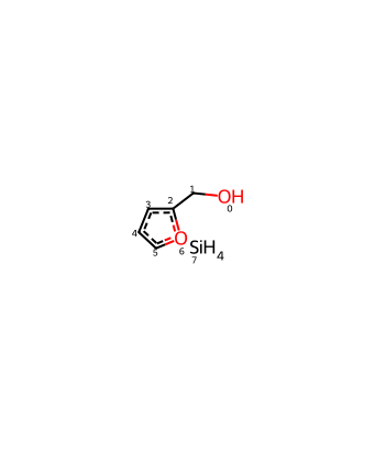 OCc1ccco1.[SiH4]